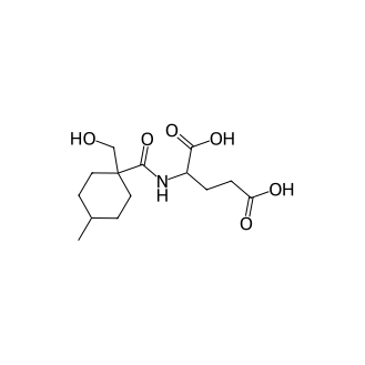 CC1CCC(CO)(C(=O)NC(CCC(=O)O)C(=O)O)CC1